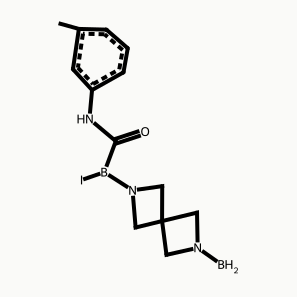 BN1CC2(C1)CN(B(I)C(=O)Nc1cccc(C)c1)C2